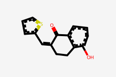 O=C1C(=Cc2cccs2)CCc2c(O)cccc21